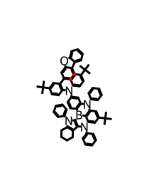 CC(C)(C)c1ccc(N(c2ccc3c(c2)N(c2ccccc2)c2cc(C(C)(C)C)cc4c2B3c2c(c3c(n2-c2ccccc2)CCCC3)N4c2ccccc2)c2ccc(C(C)(C)C)cc2-c2ccc3c(c2)oc2ccccc23)cc1